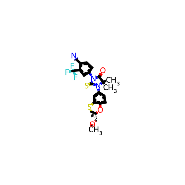 COC[C@@H]1CSc2cc(N3C(=S)N(c4ccc(C#N)c(C(F)(F)F)c4)C(=O)C3(C)C)ccc2O1